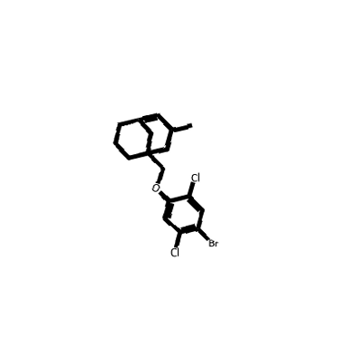 CC1C=C2CCCC(COc3cc(Cl)c(Br)cc3Cl)(C2)C1